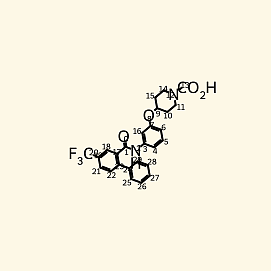 O=C(Nc1cccc(OC2CCN(C(=O)O)CC2)c1)c1cc(C(F)(F)F)ccc1-c1ccccc1